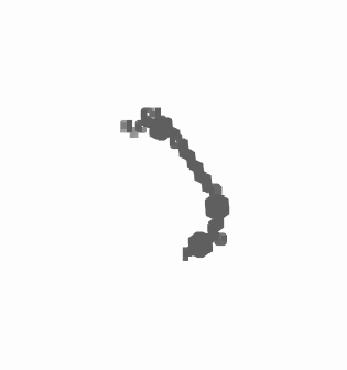 C=C(C)c1ccc(COCCCCCCCCOc2ccc(C=CC(=O)c3ccc(F)cc3)cc2)cc1